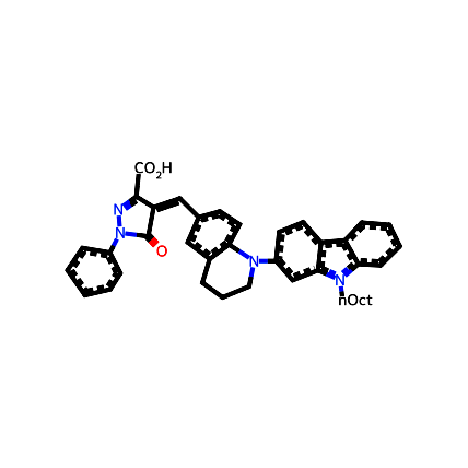 CCCCCCCCn1c2ccccc2c2ccc(N3CCCc4cc(/C=C5\C(=O)N(c6ccccc6)N=C5C(=O)O)ccc43)cc21